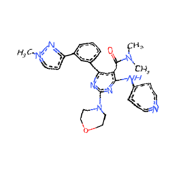 CN(C)C(=O)c1c(Nc2ccncc2)nc(N2CCOCC2)nc1-c1cccc(-c2ccn(C)n2)c1